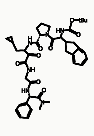 CN(C)C(=O)[C@@H](NC(=O)CNC(=O)C(=O)C(CC1CC1)NC(=O)[C@@H]1CCCN1C(=O)C(NC(=O)OC(C)(C)C)C1Cc2ccccc2C1)c1ccccc1